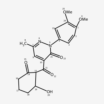 COc1ccc(-n2nc(C)cc(C(=O)C3C(=O)CCCC3O)c2=O)cc1OC